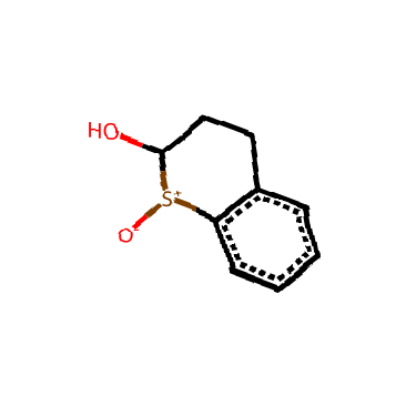 [O-][S+]1c2ccccc2CCC1O